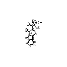 CCC(O)(CC)C(=O)C1=CC=C2C(=Cc3ccccc32)C1=O